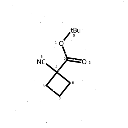 CC(C)(C)OC(=O)C1(C#N)CCC1